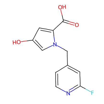 O=C(O)c1cc(O)cn1Cc1ccnc(F)c1